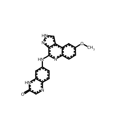 COc1ccc2nc(Nc3ccc4ncc(=O)[nH]c4c3)c3n[nH]cc3c2c1